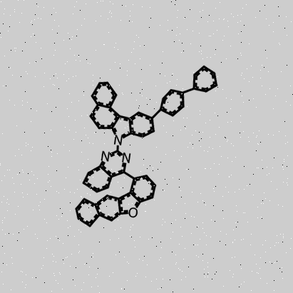 c1ccc(-c2ccc(-c3ccc4c(c3)c3c5ccccc5ccc3n4-c3nc(-c4cccc5oc6cc7ccccc7cc6c45)c4ccccc4n3)cc2)cc1